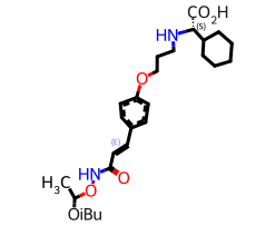 CC(C)COC(C)ONC(=O)/C=C/c1ccc(OCCCN[C@H](C(=O)O)C2CCCCC2)cc1